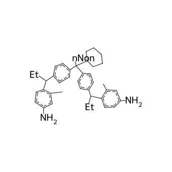 CCCCCCCCCC(c1ccc(C(CC)c2ccc(N)cc2C)cc1)(c1ccc(C(CC)c2ccc(N)cc2C)cc1)C1CCCCC1